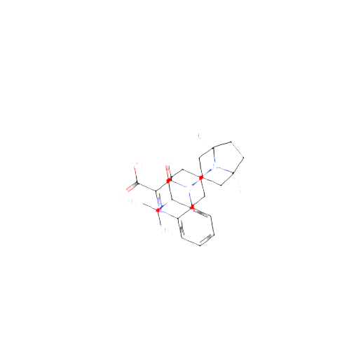 CC(C)[C@H]1CC[C@@H](N2[C@@H]3CC[C@H]2C[C@@H](n2c(=O)c(C(=O)O)nc4ccccc42)C3)CC1